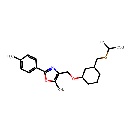 Cc1ccc(-c2nc(COC3CCCC(CSC(C(=O)O)C(C)C)C3)c(C)o2)cc1